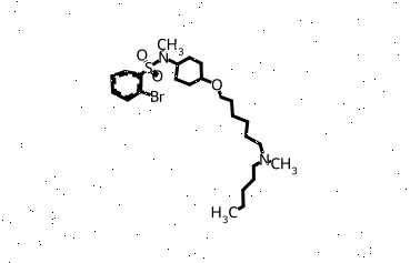 CCCCCN(C)CCCCCCOC1CCC(N(C)S(=O)(=O)c2ccccc2Br)CC1